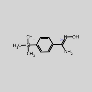 C[Si](C)(C)c1ccc(/C(N)=N/O)cc1